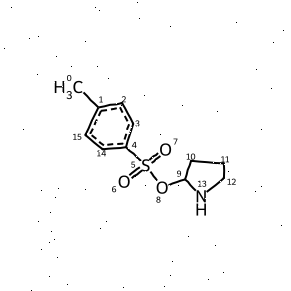 Cc1ccc(S(=O)(=O)OC2CCCN2)cc1